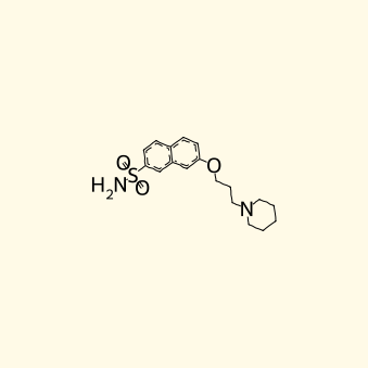 NS(=O)(=O)c1ccc2ccc(OCCCN3CCCCC3)cc2c1